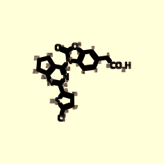 O=C(O)Cc1ccc2c(c1)oc(=O)n2-c1nc(-c2ccc(Cl)s2)nc2c1CCC2